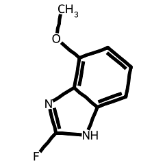 COc1cccc2[nH]c(F)nc12